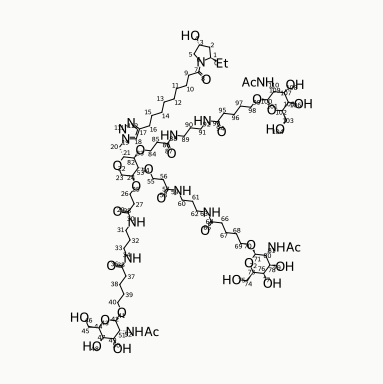 CC[C@@H]1C[C@@H](O)CN1C(=O)CCCCCCCCc1cn(C[C@H]2OC[C@H](OCCC(=O)NCCCNC(=O)CCCCO[C@@H]3O[C@H](CO)[C@H](O)[C@H](O)[C@H]3NC(C)=O)[C@@H](OCCC(=O)NCCCNC(=O)CCCCO[C@@H]3O[C@H](CO)[C@H](O)[C@H](O)[C@H]3NC(C)=O)[C@@H]2OCCC(=O)NCCCNC(=O)CCCCO[C@@H]2O[C@H](CO)[C@H](O)[C@H](O)[C@H]2NC(C)=O)nn1